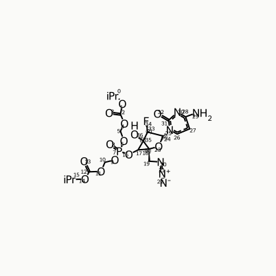 CC(C)OC(=O)OCOP(=O)(OCOC(=O)OC(C)C)OC1[C@@]2(CN=[N+]=[N-])O[C@@H](n3ccc(N)nc3=O)[C@H](F)[C@@]12O